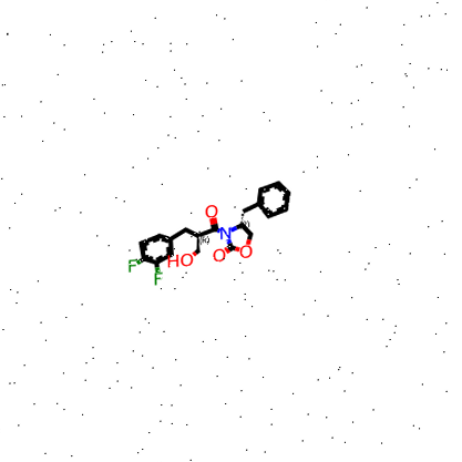 O=C1OC[C@@H](Cc2ccccc2)N1C(=O)[C@@H](CO)Cc1ccc(F)c(F)c1